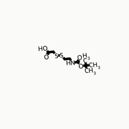 CC(C)(C)OC(=O)NCCSSCC(=O)O